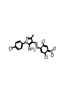 Cc1nn(-c2ccc(Cl)cc2)c(N)c1N=NC1=CC(Cl)C(=S(=O)=O)C=C1Cl